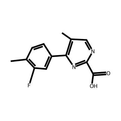 Cc1ccc(-c2nc(C(=O)O)ncc2C)cc1F